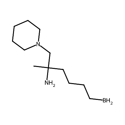 BCCCCC(C)(N)CN1CCCCC1